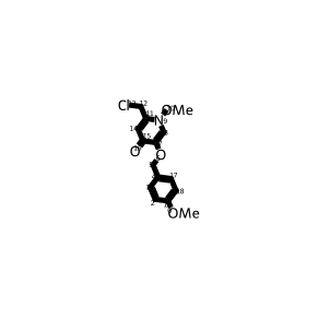 COc1ccc(COc2cn(OC)c(CCl)cc2=O)cc1